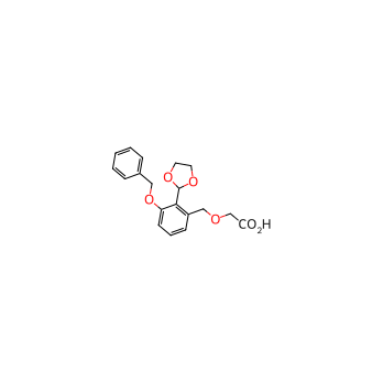 O=C(O)COCc1cccc(OCc2ccccc2)c1C1OCCO1